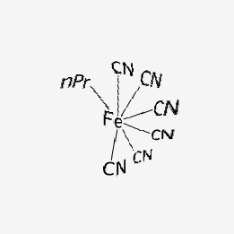 CC[CH2][Fe]([C]#N)([C]#N)([C]#N)([C]#N)([C]#N)[C]#N